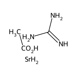 CC(=O)O.N=C(N)N.[SrH2]